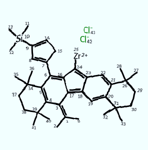 CC(C)=c1c2c(c(C3=CC([Si](C)(C)C)=CC3)c3c1=c1cc4c(cc1=[C]3[Zr+2])C(C)(C)CCC4(C)C)C(C)(C)CCC2(C)C.[Cl-].[Cl-]